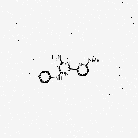 CNc1cccc(-c2nc(N)nc(Nc3ccccc3)n2)n1